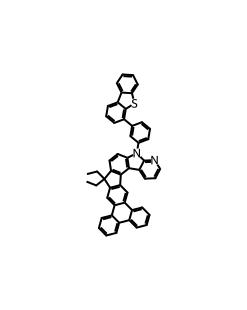 CCC1(CC)c2cc3c4ccccc4c4ccccc4c3cc2-c2c1ccc1c2c2cccnc2n1-c1cccc(-c2cccc3c2sc2ccccc23)c1